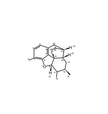 Cc1ccc2c3c1O[C@H]1C(C)[C@H](C)C[C@H]4[C@H](CCC[C@]314)C2